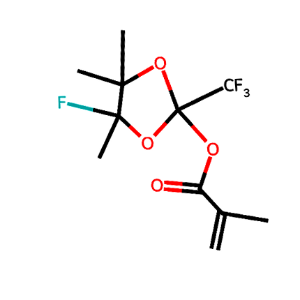 C=C(C)C(=O)OC1(C(F)(F)F)OC(C)(C)C(C)(F)O1